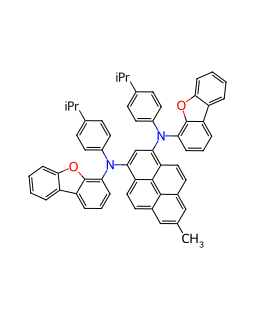 Cc1cc2ccc3c(N(c4ccc(C(C)C)cc4)c4cccc5c4oc4ccccc45)cc(N(c4ccc(C(C)C)cc4)c4cccc5c4oc4ccccc45)c4ccc(c1)c2c34